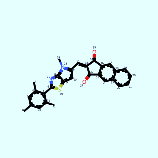 Cc1cc(C)c(-c2nc3c(cc(C=C4C(=O)c5cc6ccccc6cc5C4=O)n3C)s2)c(C)c1